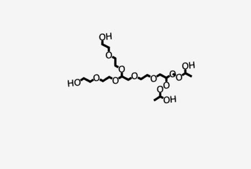 CC(O)OOC(COCCOCC(OCCOCCO)OCCOCCO)OOC(C)O